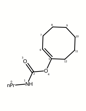 [CH2]CCNC(=O)OC1=CCCCCCC1